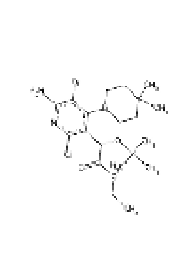 CCOC(=O)[C@@H](OC(C)(C)C)c1c(Cl)nc(N)c(Br)c1N1CCC(C)(C)CC1